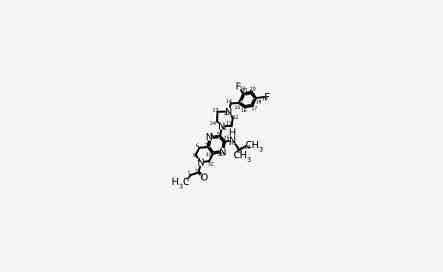 CCC(=O)N1CCc2nc(N3CCN(Cc4ccc(F)cc4F)CC3)c(NC(C)C)nc2C1